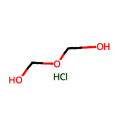 Cl.OCOCO